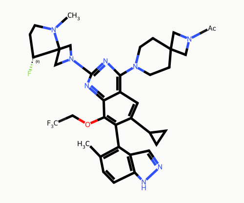 CC(=O)N1CC2(CCN(c3nc(N4CC5(C4)[C@H](F)CCN5C)nc4c(OCC(F)(F)F)c(-c5c(C)ccc6[nH]ncc56)c(C5CC5)cc34)CC2)C1